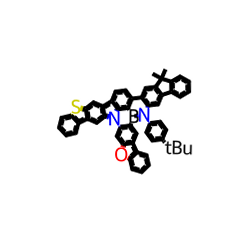 CC(C)(C)c1ccc(N2B3c4cc5c(cc4-n4c6cc7c(cc6c6ccc(c3c64)-c3cc4c(cc32)-c2ccccc2C4(C)C)sc2ccccc27)oc2ccccc25)cc1